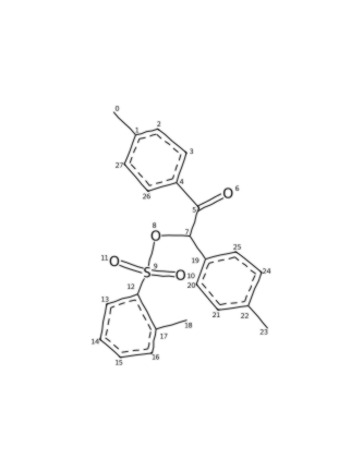 Cc1ccc(C(=O)C(OS(=O)(=O)c2ccccc2C)c2ccc(C)cc2)cc1